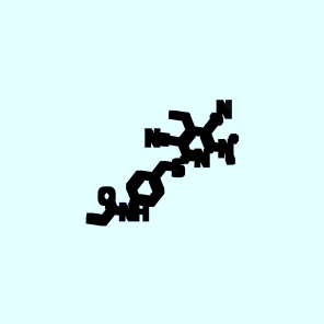 C=CC(=O)Nc1ccc(CSc2nc(N(C)C)c(C#N)c(CC)c2C#N)cc1